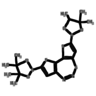 CC1OB(c2cc3c(s2)-c2sc(B4OC(C)(C)C(C)(C)O4)cc2N=NS3)OC1(C)C